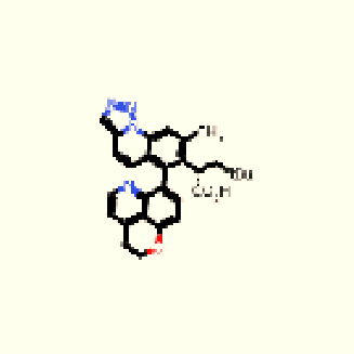 Cc1cc2c(ccc3cnnn32)c(-c2ccc3c4c(ccnc24)CCO3)c1[C@H](CC(C)(C)C)C(=O)O